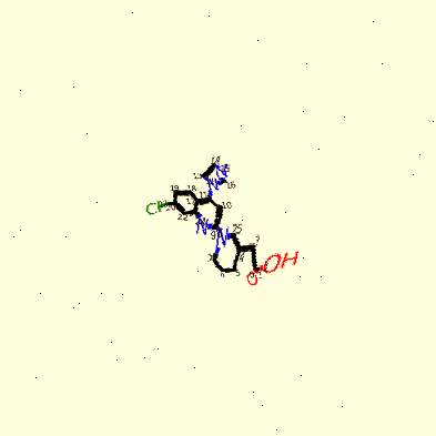 O=C(O)CC1CCCN(c2cc(-n3ccnc3)c3ccc(Cl)cc3n2)C1